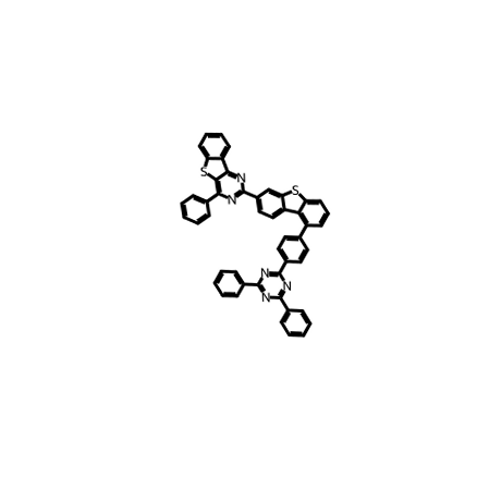 c1ccc(-c2nc(-c3ccccc3)nc(-c3ccc(-c4cccc5sc6cc(-c7nc(-c8ccccc8)c8sc9ccccc9c8n7)ccc6c45)cc3)n2)cc1